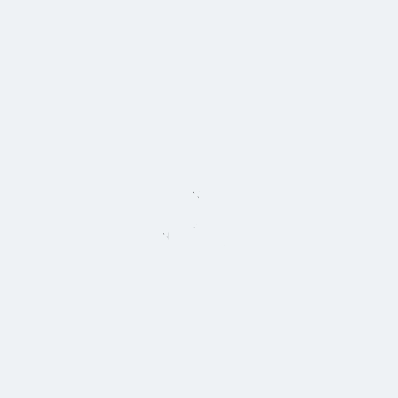 CCc1cn(C)c(=O)n1CC